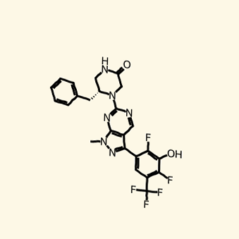 Cn1nc(-c2cc(C(F)(F)F)c(F)c(O)c2F)c2cnc(N3CC(=O)NC[C@H]3Cc3ccccc3)nc21